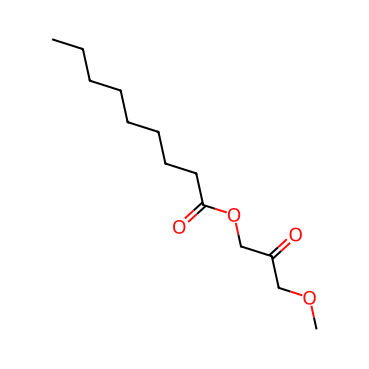 CCCCCCCCC(=O)OCC(=O)COC